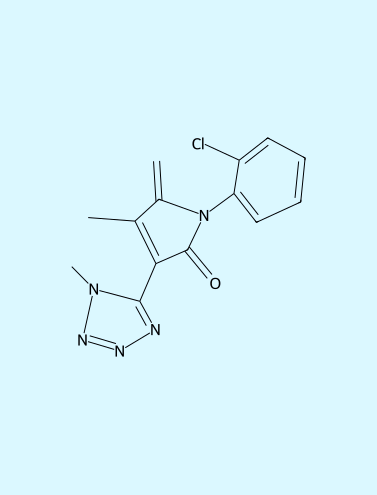 C=C1C(C)=C(c2nnnn2C)C(=O)N1c1ccccc1Cl